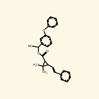 CC1(C)C(C=Cc2ccccc2)C1C(=O)OC(C#N)c1cccc(Oc2ccccc2)c1